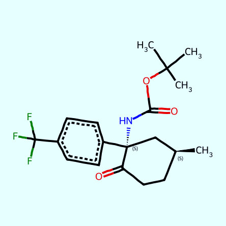 C[C@H]1CCC(=O)[C@@](NC(=O)OC(C)(C)C)(c2ccc(C(F)(F)F)cc2)C1